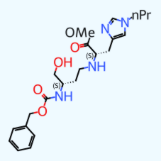 CCCn1cnc(C[C@H](NCC[C@@H](CO)NC(=O)OCc2ccccc2)C(=O)OC)c1